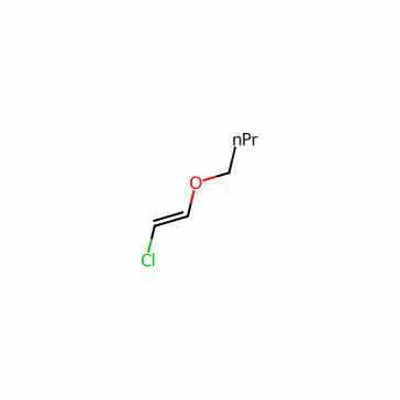 CCCCO/C=C/Cl